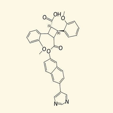 COc1ccccc1C1C(C(=O)Oc2ccc3cc(-c4cncnc4)ccc3c2)[C@H](c2ccccc2OC)[C@H]1C(=O)O